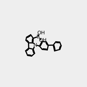 OB(O)c1cccc2c3ccccc3n(-c3ccc(-c4ccccc4)cc3)c12